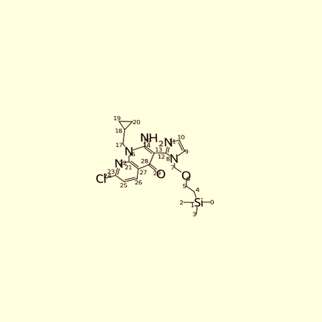 C[Si](C)(C)CCOCn1ccnc1-c1c(N)n(CC2CC2)c2nc(Cl)ccc2c1=O